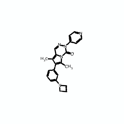 Cc1c(-c2cccc(N3CCC3)c2)c(C)n2c(=O)n(-c3ccncc3)ncc12